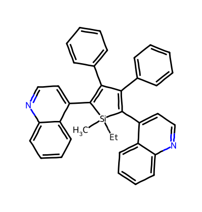 CC[Si]1(C)C(c2ccnc3ccccc23)=C(c2ccccc2)C(c2ccccc2)=C1c1ccnc2ccccc12